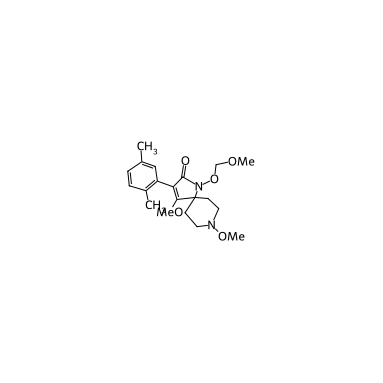 COCON1C(=O)C(c2cc(C)ccc2C)=C(OC)C12CCN(OC)CC2